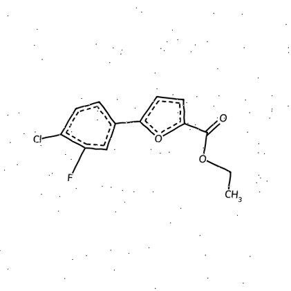 CCOC(=O)c1ccc(-c2ccc(Cl)c(F)c2)o1